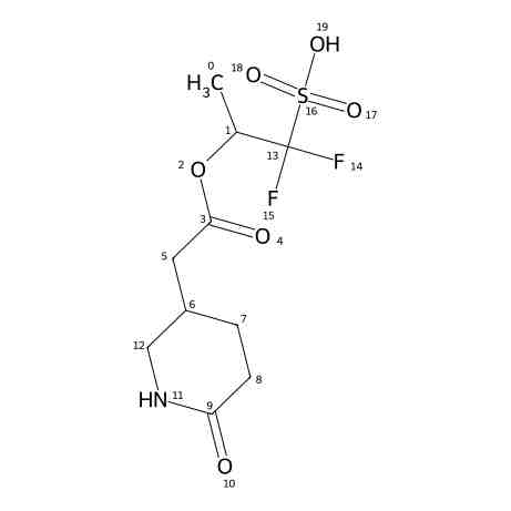 CC(OC(=O)CC1CCC(=O)NC1)C(F)(F)S(=O)(=O)O